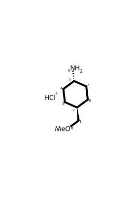 COC[C@H]1CC[C@H](N)CC1.Cl